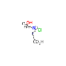 CCCC1(C(O)CCCN2CCC(Cl)C2C/C=C\CCCC(=O)O)CCC1